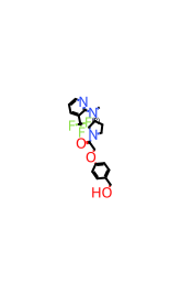 CN(c1ncccc1C(F)(F)F)[C@@H]1CCN(C(=O)COc2ccc(CO)cc2)C1